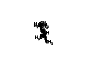 CCCCCCCC(=CC(=O)OC)Nc1ccc(CCC[Si](C)(C)C(C)(C)C)cc1